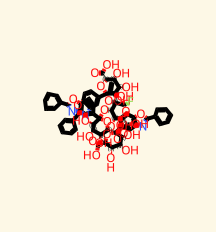 C=CC[C@@]1(OC2(c3ccc4oc(-c5ccccc5)nc4c3)O[C@H](C(=O)O)[C@@H](O)[C@H](O)[C@H]2O)[C@@H](OC2(c3ccc4oc(-c5ccccc5)nc4c3)O[C@H](C(=O)O)[C@@H](O)[C@H](O)[C@H]2O)[C@H](OC2(c3ccc4oc(-c5ccccc5)nc4c3)O[C@H](C(=O)O)[C@@H](O)[C@H](O)[C@H]2O)[C@@H](C(=O)O)OC1(O)F